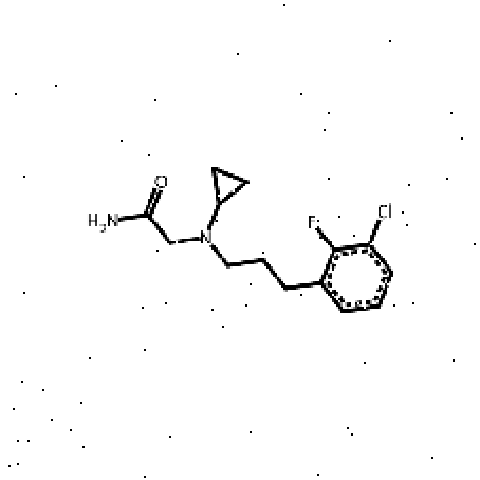 NC(=O)CN(CCCc1cccc(Cl)c1F)C1CC1